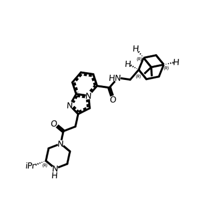 CC(C)[C@@H]1CN(C(=O)Cc2cn3c(C(=O)NC[C@@H]4CC[C@@H]5C[C@H]4C5(C)C)cccc3n2)CCN1